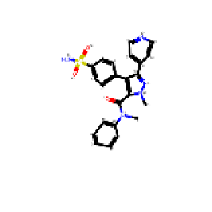 CN(C(=O)c1c(-c2ccc(S(N)(=O)=O)cc2)c(-c2ccncc2)nn1C)c1ccccc1